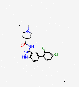 CN1CCC(C(=O)Nc2n[nH]c3ccc(-c4ccc(Cl)cc4Cl)cc23)CC1